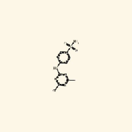 Cc1nc(Cl)nc(Nc2ccc(S(N)(=O)=O)cc2)n1